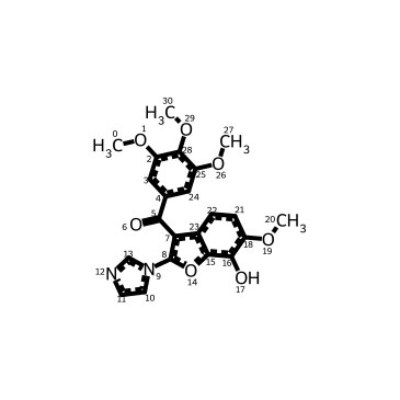 COc1cc(C(=O)c2c(-n3ccnc3)oc3c(O)c(OC)ccc23)cc(OC)c1OC